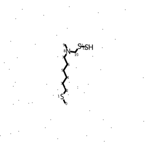 CSCCCCCCN(C)CSS